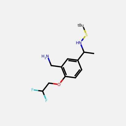 CC(NSC(C)(C)C)c1ccc(OCC(F)F)c(CN)c1